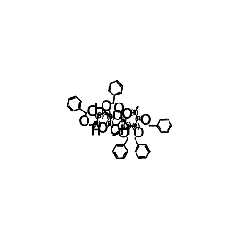 C=CC[C@@]1(O[C@@H]2[C@@H](OC(=O)c3ccccc3)[C@H]3OC(c4ccccc4)OC[C@H]3O[C@H]2O)O[C@@H](C)[C@@H](OCc2ccccc2)[C@@H](OCc2ccccc2)[C@@H]1OCc1ccccc1